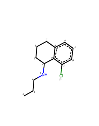 CCCNC1CCCc2cccc(Cl)c21